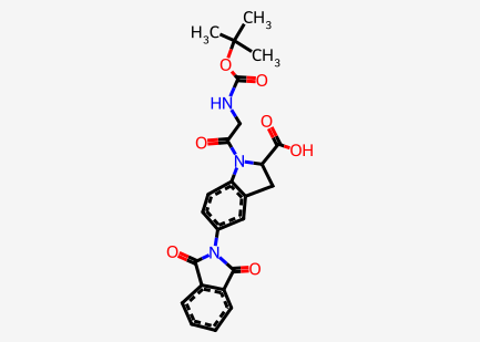 CC(C)(C)OC(=O)NCC(=O)N1c2ccc(N3C(=O)c4ccccc4C3=O)cc2CC1C(=O)O